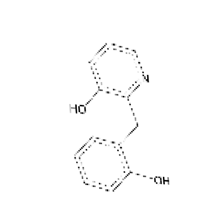 Oc1ccccc1Cc1ncccc1O